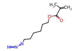 C=C(C)C(=O)OCCCCCCN=[N+]=[N-]